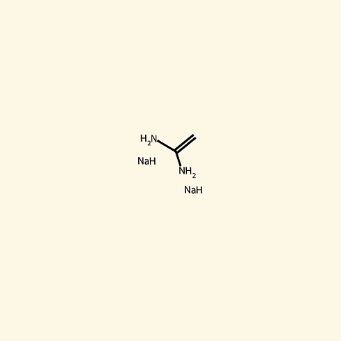 C=C(N)N.[NaH].[NaH]